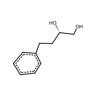 OC[C@@H](O)CCc1ccccc1